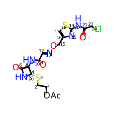 CC(=O)OCCS[C@@H]1NC(=O)[C@H]1NC(=O)C=NOCc1csc(NC(=O)CCl)n1